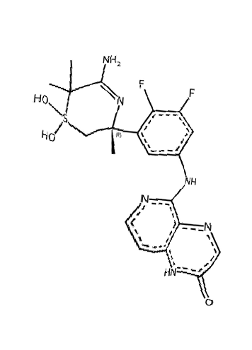 CC1(C)C(N)=N[C@](C)(c2cc(Nc3nccc4[nH]c(=O)cnc34)cc(F)c2F)CS1(O)O